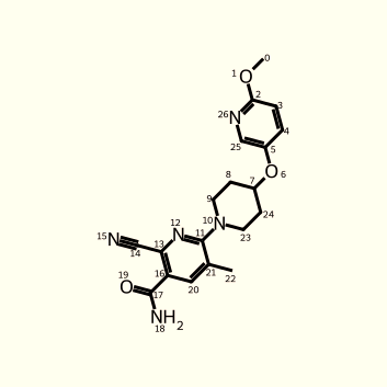 COc1ccc(OC2CCN(c3nc(C#N)c(C(N)=O)cc3C)CC2)cn1